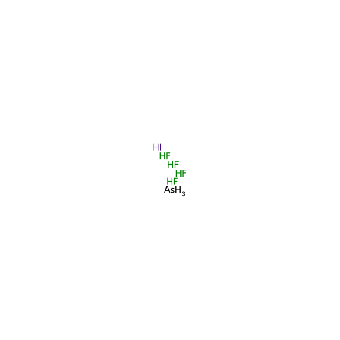 F.F.F.F.I.[AsH3]